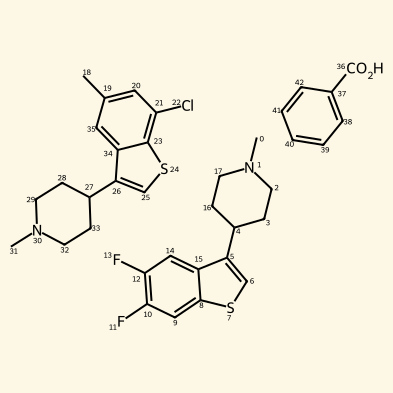 CN1CCC(c2csc3cc(F)c(F)cc23)CC1.Cc1cc(Cl)c2scc(C3CCN(C)CC3)c2c1.O=C(O)c1ccccc1